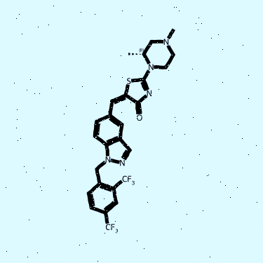 C[C@@H]1CN(C)CCN1C1=NC(=O)C(=Cc2ccc3c(cnn3Cc3ccc(C(F)(F)F)cc3C(F)(F)F)c2)S1